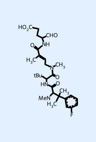 CNC(C(=O)NC(C(=O)N(C)C/C=C(\C)C(=O)NC(C=O)CCC(=O)O)C(C)(C)C)C(C)(C)c1cccc(F)c1